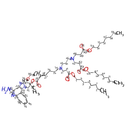 CCCCCCCCOC(=O)CCN(CCCCCC(=O)OC(C)(C)Cn1c(COCC)nc2c(N)nc3ccccc3c21)CCCN(CCC(=O)OCCCCCCCC)CCC(=O)OCCCCCCCC